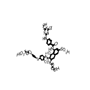 COc1cc(SC#COOS(=O)(=O)O)ccc1N=Nc1c(SOOO)cc2cc(S(=O)(=O)O)cc(NC(=O)c3ccc(Nc4nc(Cl)nc(SO)n4)cc3)c2c1O